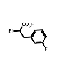 CCC(Cc1cccc(F)c1)C(=O)O